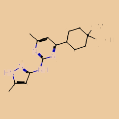 COC1(C(=O)O)CCC(c2cc(C)nc(Nc3cc(C)[nH]n3)n2)CC1